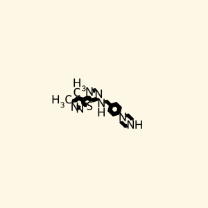 Cc1nnc2sc3c(NCc4ccc(N5CCNCC5)cc4)ncnc3c2c1C